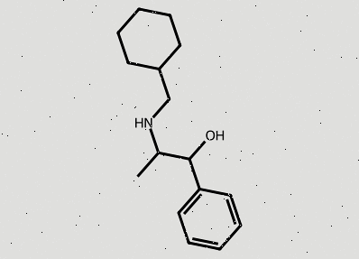 CC(NCC1CCCCC1)C(O)c1ccccc1